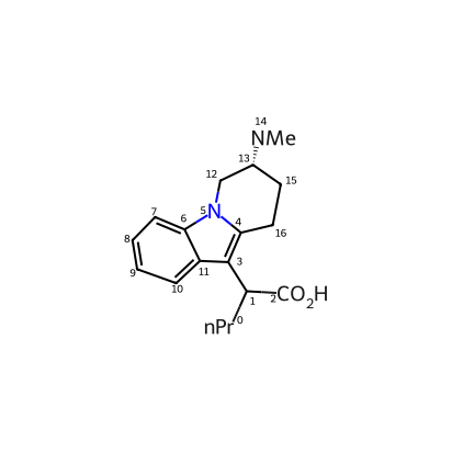 CCCC(C(=O)O)c1c2n(c3ccccc13)C[C@H](NC)CC2